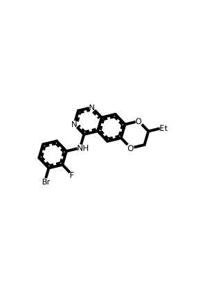 CCC1COc2cc3c(Nc4cccc(Br)c4F)ncnc3cc2O1